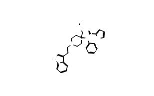 COCC1(N(C(=O)c2ccco2)c2ccccc2)CCN(CCc2c[nH]c3ccccc23)CC1